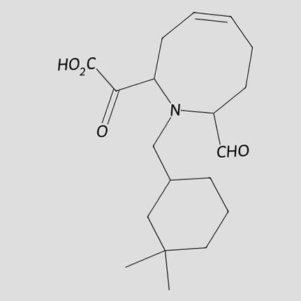 CC1(C)CCCC(CN2C(C=O)CC/C=C\CC2C(=O)C(=O)O)C1